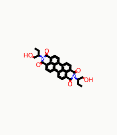 CCC(CO)N1C(=O)c2ccc3c4ccc5c6c(ccc(c7ccc(c2c37)C1=O)c64)C(=O)N(C(CC)CO)C5=O